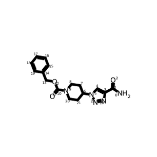 NC(=O)c1cn(C2CCN(C(=O)OCc3ccccc3)CC2)nn1